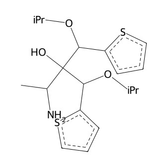 CC(C)OC(c1cccs1)C(O)(C(C)N)C(OC(C)C)c1cccs1